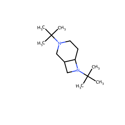 CC(C)(C)N1CCC2C(C1)CN2C(C)(C)C